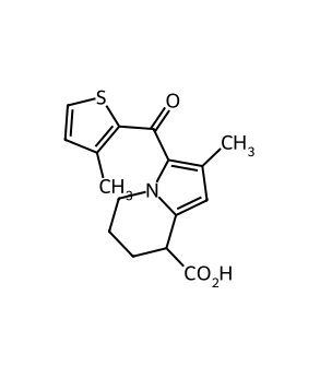 Cc1ccsc1C(=O)c1c(C)cc2n1CCCC2C(=O)O